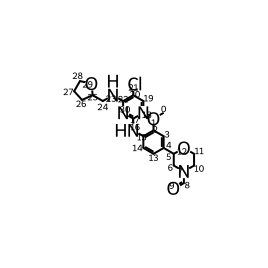 COc1cc(C2CN(C=O)CCO2)ccc1Nc1ncc(Cl)c(NCC2CCCO2)n1